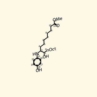 CCCCCCCCC(O)C(CCCCCCCC(=O)OC)Nc1ccc(O)cc1